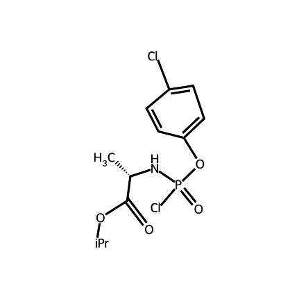 CC(C)OC(=O)[C@H](C)NP(=O)(Cl)Oc1ccc(Cl)cc1